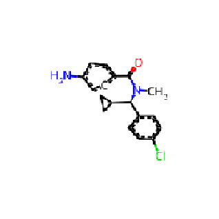 CN(C(=O)c1ccc(N)cc1)[C@@H](c1ccc(Cl)cc1)C1CC1